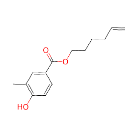 C=CCCCCOC(=O)c1ccc(O)c(C)c1